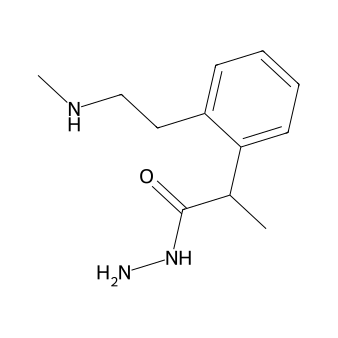 CNCCc1ccccc1C(C)C(=O)NN